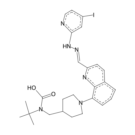 CC(C)(C)N(CC1CCN(c2cccc3ccc(/C=N/Nc4cc(I)ccn4)nc23)CC1)C(=O)O